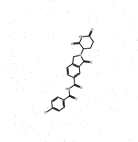 O=C1CCC(N2Cc3ccc(C(=O)NC(=O)c4ccc(Cl)cc4)cc3C2=O)C(=O)N1